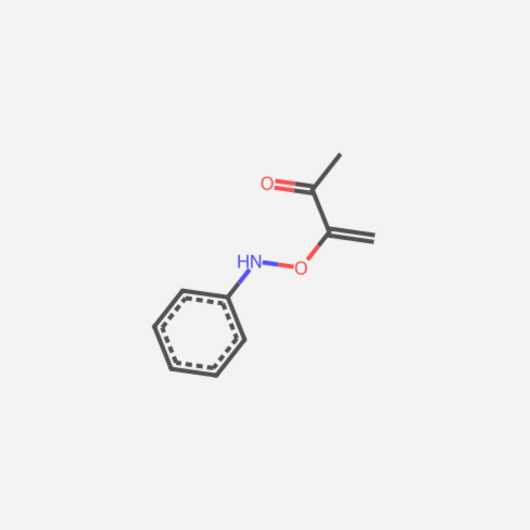 C=C(ONc1ccccc1)C(C)=O